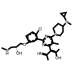 CNC[C@@H](O)COc1ccc(Cl)c(-c2nc(/C(C(C)=N)=C(\C)O)c(C)c(N3CCC(N(C)C4CC4)CC3)n2)c1